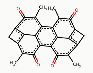 Cc1c2c3c(c(=O)c(C)c4c-3c(c1=O)c1c3c4c(C)c(=O)c4c-3c(c(C)c1=O)C4)C2